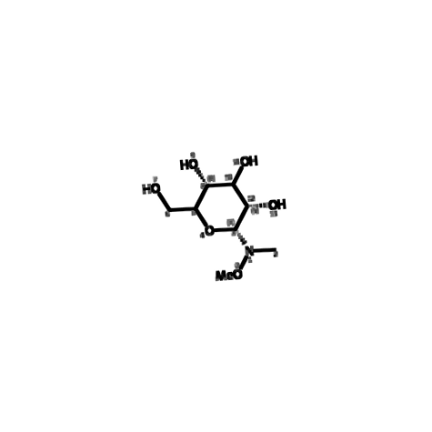 CON(C)[C@@H]1OC(CO)[C@H](O)C(O)[C@@H]1O